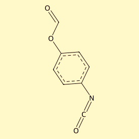 O=C=Nc1ccc(OC=O)cc1